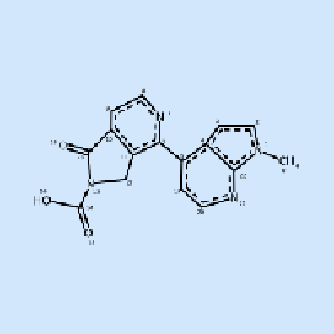 Cn1ccc2c(-c3nccc4c3CN(C(=O)O)C4=O)ccnc21